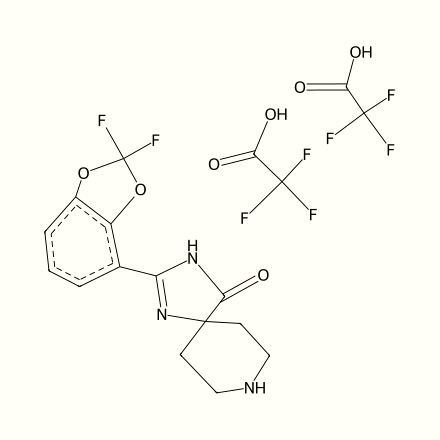 O=C(O)C(F)(F)F.O=C(O)C(F)(F)F.O=C1NC(c2cccc3c2OC(F)(F)O3)=NC12CCNCC2